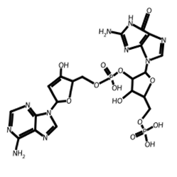 Nc1nc2c(ncn2C2OC(COP(=O)(O)O)C(O)C2OP(=O)(O)OCC2OC(n3cnc4c(N)ncnc43)C=C2O)c(=O)[nH]1